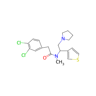 CN(C(=O)Cc1ccc(Cl)c(Cl)c1)C(CN1CCCC1)c1ccsc1